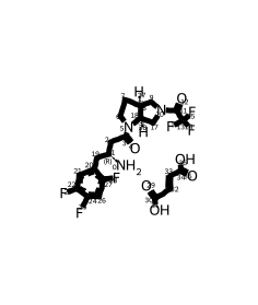 N[C@@H](CC(=O)N1CC[C@H]2CN(C(=O)C(F)(F)F)C[C@H]21)Cc1cc(F)c(F)cc1F.O=C(O)C=CC(=O)O